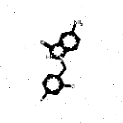 Nc1ccc2c(c1)c(=O)[nH]n2Cc1ccc(F)cc1Cl